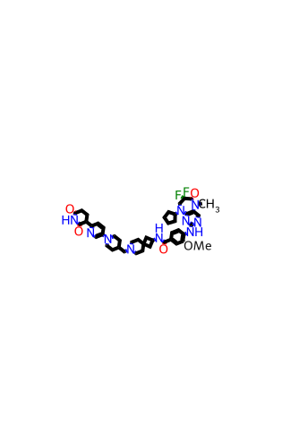 COc1cc(C(=O)NC2CC3(CCN(CC4CCN(c5ccc(C6CCC(=O)NC6=O)nc5)CC4)CC3)C2)ccc1Nc1ncc2c(n1)N(C1CCCC1)CC(F)(F)C(=O)N2C